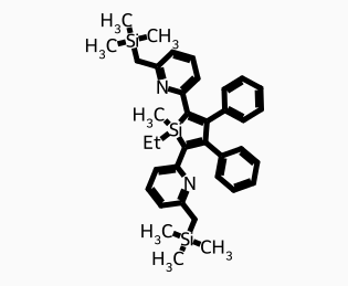 CC[Si]1(C)C(c2cccc(C[Si](C)(C)C)n2)=C(c2ccccc2)C(c2ccccc2)=C1c1cccc(C[Si](C)(C)C)n1